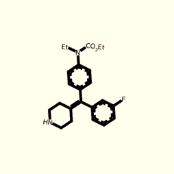 CCOC(=O)N(CC)c1ccc(C(=C2CCNCC2)c2cccc(F)c2)cc1